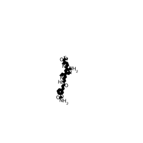 CN(C)C(=O)c1ccc(-c2cc(-c3ccnc(CNC(=O)CCc4cccc(OC(N)=O)c4)c3)cnc2N)nc1